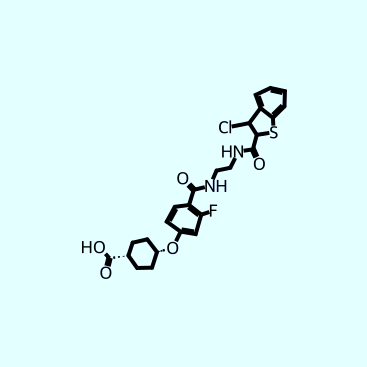 O=C(NCCNC(=O)C1Sc2ccccc2C1Cl)c1ccc(O[C@H]2CC[C@@H](C(=O)O)CC2)cc1F